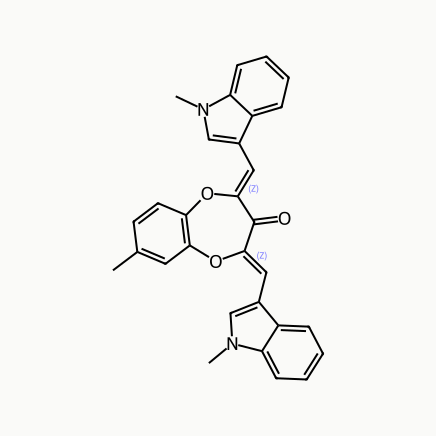 Cc1ccc2c(c1)O/C(=C\c1cn(C)c3ccccc13)C(=O)/C(=C/c1cn(C)c3ccccc13)O2